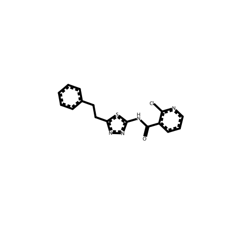 O=C(Nc1nnc(CCc2ccccc2)s1)c1cccnc1Cl